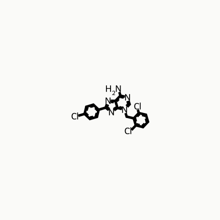 Nc1ncn(Cc2c(Cl)cccc2Cl)c2nc(-c3ccc(Cl)cc3)nc1-2